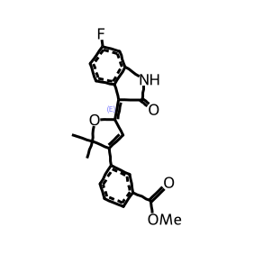 COC(=O)c1cccc(C2=C/C(=C3\C(=O)Nc4cc(F)ccc43)OC2(C)C)c1